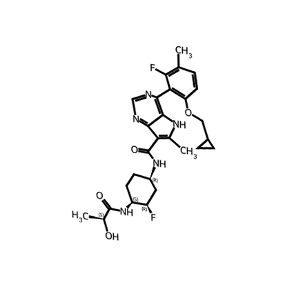 Cc1ccc(OCC2CC2)c(-c2ncnc3c(C(=O)N[C@@H]4CC[C@H](NC(=O)[C@H](C)O)[C@H](F)C4)c(C)[nH]c23)c1F